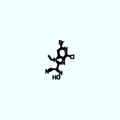 CCn1c(C(C#N)=NO)nc2c(Cl)nc(Br)cc21